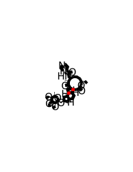 CC[C@H]1CCCC(NC(=O)c2ccncn2)[C@@H](C)C(=O)C2=C[C@@H]3[C@@H](C=C[C@@H]4C[C@@H](O[C@@H]5O[C@@H](C)[C@H](OC)C(OC)[C@H]5OC)C[C@@H]34)[C@@H]2CC(=O)O1